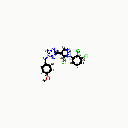 COc1ccc(Cn2nnc(-c3cnn(-c4cccc(Cl)c4Cl)c3Cl)n2)cc1